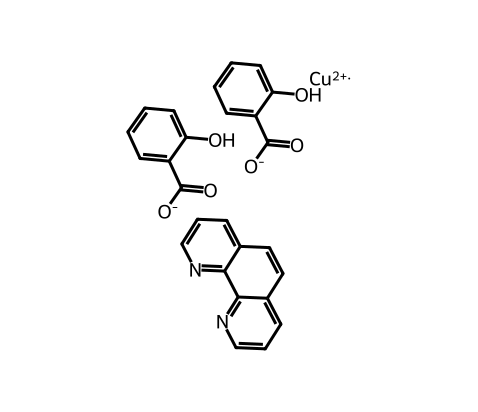 O=C([O-])c1ccccc1O.O=C([O-])c1ccccc1O.[Cu+2].c1cnc2c(c1)ccc1cccnc12